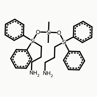 C[Si](C)(O[Si](CCCN)(c1ccccc1)c1ccccc1)O[Si](CCCN)(c1ccccc1)c1ccccc1